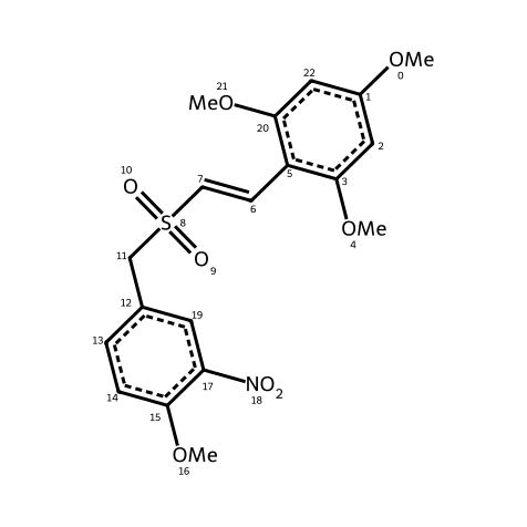 COc1cc(OC)c(/C=C/S(=O)(=O)Cc2ccc(OC)c([N+](=O)[O-])c2)c(OC)c1